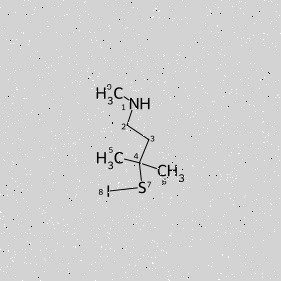 CNCCC(C)(C)SI